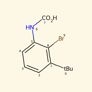 CC(C)(C)c1cccc(NC(=O)O)c1Br